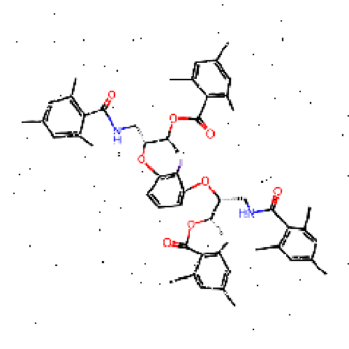 Cc1cc(C)c(C(=O)NC[C@@H](Oc2cccc(O[C@H](CNC(=O)c3c(C)cc(C)cc3C)[C@H](C)OC(=O)c3c(C)cc(C)cc3C)c2I)[C@H](C)OC(=O)c2c(C)cc(C)cc2C)c(C)c1